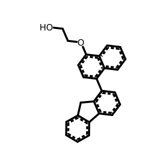 OCCOc1ccc(-c2cccc3c2Cc2ccccc2-3)c2ccccc12